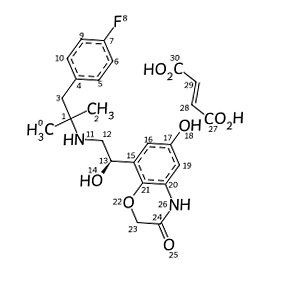 CC(C)(Cc1ccc(F)cc1)NC[C@H](O)c1cc(O)cc2c1OCC(=O)N2.O=C(O)C=CC(=O)O